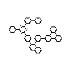 c1ccc(-c2cccc(-c3nc(-c4ccccc4)nc(-c4ccc(-c5ccc6ccccc6c5-c5cccc(-c6ccc7c8ccccc8c8ccccc8c7c6)c5)cc4)n3)c2)cc1